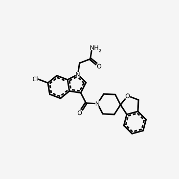 NC(=O)Cn1cc(C(=O)N2CCC3(CC2)OCc2ccccc23)c2ccc(Cl)cc21